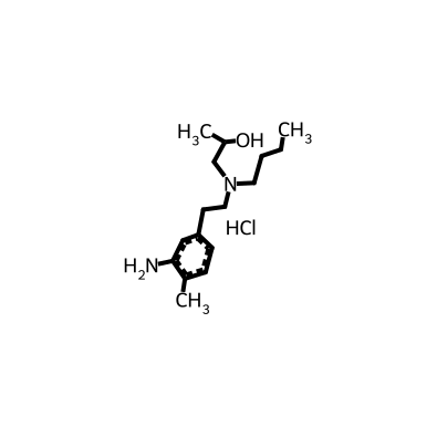 CCCCN(CCc1ccc(C)c(N)c1)CC(C)O.Cl